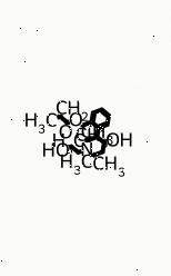 C=C(C)C(=O)OC(C)c1ccccc1C1C(O)CC(C)(C)N(CCO)C1(C)C